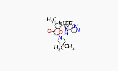 Cc1cc([C@@H](C)Nc2ccnnc2C(=O)O)c2oc(N3CCC(C)(C)CC3)cc(=O)c2c1